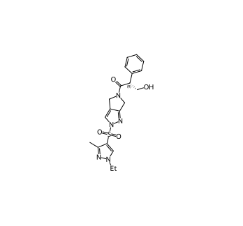 CCn1cc(S(=O)(=O)n2cc3c(n2)CN(C(=O)[C@@H](CO)c2ccccc2)C3)c(C)n1